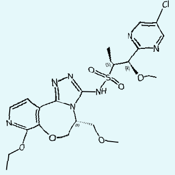 CCOc1nccc2c1OC[C@@H](COC)n1c(NS(=O)(=O)[C@@H](C)[C@H](OC)c3ncc(Cl)cn3)nnc1-2